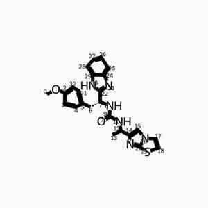 COc1ccc(C[C@@H](NC(=O)NC(C)c2cn3ccsc3n2)c2nc3ccccc3[nH]2)cc1